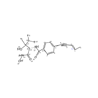 C/C=C/C#Cc1ccc(C(=O)N[C@H](C(=O)NO)C(C)(O)C(F)F)cc1